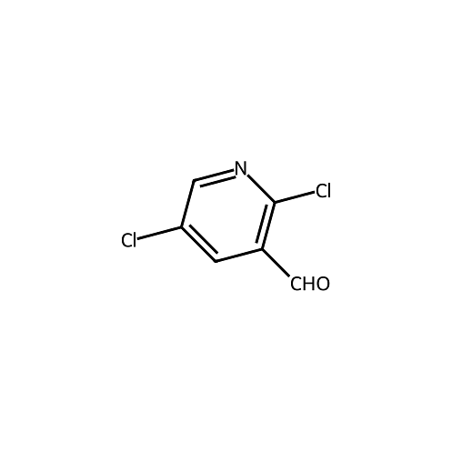 O=Cc1cc(Cl)cnc1Cl